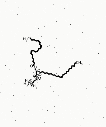 CCCCC/C=C\C/C=C\C/C=C\C/C=C\CCCCCC(=O)OC[C@H](COP(=O)([O-])OCC[N+](C)(C)C)OC(=O)CCCCCCCCC/C=C\CCCCCCCCCC